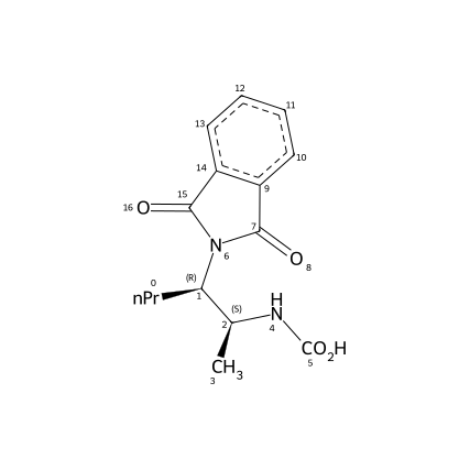 CCC[C@H]([C@H](C)NC(=O)O)N1C(=O)c2ccccc2C1=O